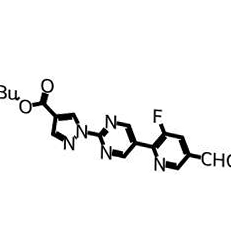 CC(C)(C)OC(=O)c1cnn(-c2ncc(-c3ncc(C=O)cc3F)cn2)c1